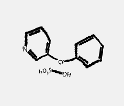 O=S(=O)(O)O.c1ccc(Oc2cccnc2)cc1